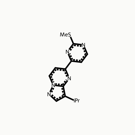 CSc1nccc(-c2ccn3ncc(C(C)C)c3n2)n1